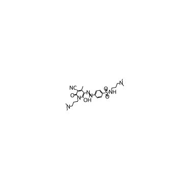 Cc1c(/N=N/c2ccc(S(=O)(=O)NCCCN(C)C)cc2)c(O)n(CCCN(C)C)c(=O)c1C#N